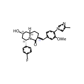 COc1cc(/C=C2\CC[C@H]3C[C@H](O)C[C@@H](c4ccc(F)cc4)N3C2=O)ccc1-n1cnc(C)c1